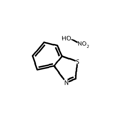 O=[N+]([O-])O.c1ccc2scnc2c1